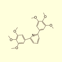 COc1cc(-c2cccc(-c3cc(OC)c(OC)c(OC)c3)n2)cc(OC)c1OC